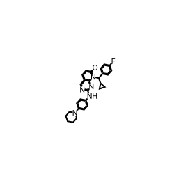 O=c1ccc2cnc(Nc3ccc(N4CCCCC4)cc3)nc2n1C(c1ccc(F)cc1)C1CC1